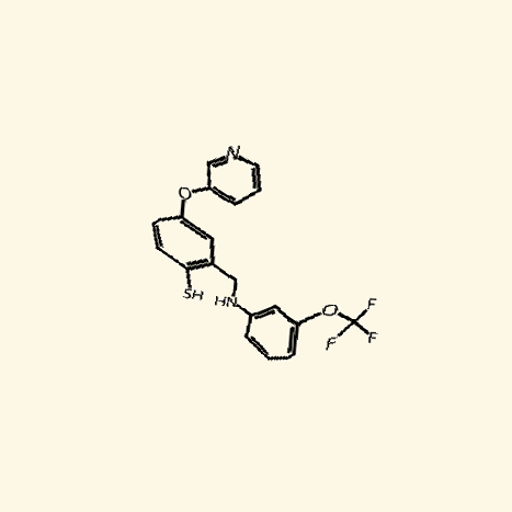 FC(F)(F)Oc1cccc(NCc2cc(Oc3cccnc3)ccc2S)c1